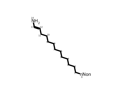 CCCCCCCCCCCCCCCCCCCCC=CN